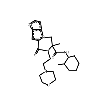 CC1CCCCC1NC(=O)C1(C)Cn2c(cc3occc32)C(=O)N1CCN1CCOCC1